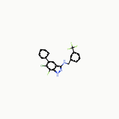 Fc1c(Cl)c(-c2ccccc2)cc2c(NCc3cccc(C(F)(F)F)c3)n[nH]c12